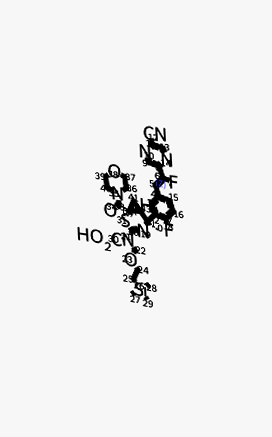 C[C@]1(c2cc(/C=C(\F)c3cnc(C#N)cn3)ccc2F)N=C(N(COCC[Si](C)(C)C)C(=O)O)S[C@@]2(C(=O)N3CCOCC3)C[C@H]21